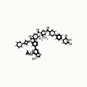 CC(C)n1cnc2cc(-c3ccc4c(c3)N(C3CC(N5CCCCC5)C3)C(=O)C43CCN(C(=O)[C@H]4CN(C(=O)C5CCN(c6ccc([C@H]7CCC(=O)NC7=O)cc6)CC5)CC4(C)C)CC3)nc(NC3CC3)c21